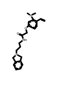 C=Cc1ccc(OCC(=O)NCCCN2Cc3ccccc3C2)cc1N(C)C